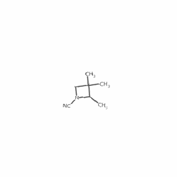 CC1N(C#N)CC1(C)C